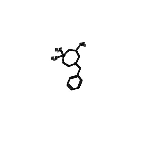 C[N+]1(C)CCN(Cc2ccccc2)CC(N)C1